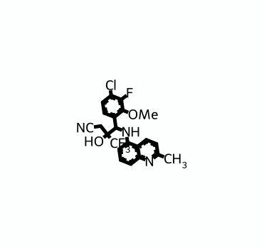 COc1c(C(Nc2cccc3nc(C)ccc23)C(O)(CC#N)C(F)(F)F)ccc(Cl)c1F